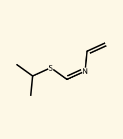 C=C/N=C\SC(C)C